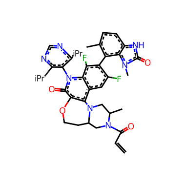 C=CC(=O)N1CC2CCOc3c(c4cc(F)c(-c5c(C)ccc6[nH]c(=O)n(C)c56)c(F)c4n(-c4c(C(C)C)ncnc4C(C)C)c3=O)N2CC1C